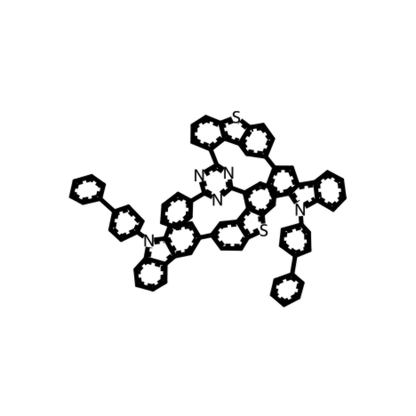 c1ccc(-c2ccc(-n3c4ccccc4c4cc(-c5ccc6sc7cccc(-c8nc(-c9ccccc9)nc(-c9cccc%10sc%11ccc(-c%12ccc%13c(c%12)c%12ccccc%12n%13-c%12ccc(-c%13ccccc%13)cc%12)cc%11c9%10)n8)c7c6c5)ccc43)cc2)cc1